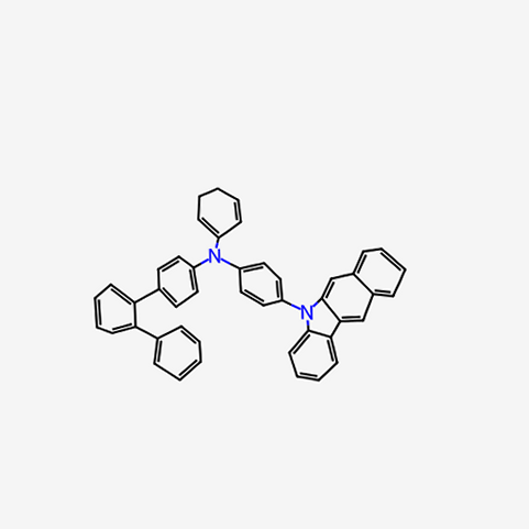 C1=CC(N(c2ccc(-c3ccccc3-c3ccccc3)cc2)c2ccc(-n3c4ccccc4c4cc5ccccc5cc43)cc2)=CCC1